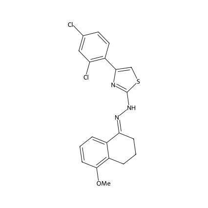 COc1cccc2c1CCCC2=NNc1nc(-c2ccc(Cl)cc2Cl)cs1